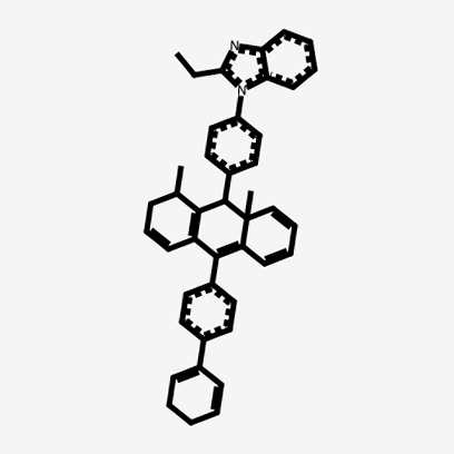 CCc1nc2ccccc2n1-c1ccc(C2C3=C(C=CCC3C)C(c3ccc(C4=CCCC=C4)cc3)=C3C=CC=CC32C)cc1